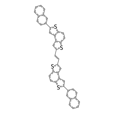 C(=C\c1cc2c(ccc3sc(-c4ccc5ccccc5c4)cc32)s1)/c1cc2c(ccc3sc(-c4ccc5ccccc5c4)cc32)s1